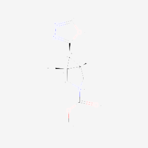 CC(C)(C)OC(=O)N1C[C@@H]2[C@H](C1)[C@H]2c1nnco1